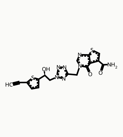 C#Cc1ccc([C@@H](O)Cn2nnc(Cn3cnc4scc(C(N)=O)c4c3=O)n2)s1